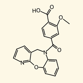 COc1cc(C(=O)N2Cc3cccnc3Oc3ccccc32)ccc1C(=O)O